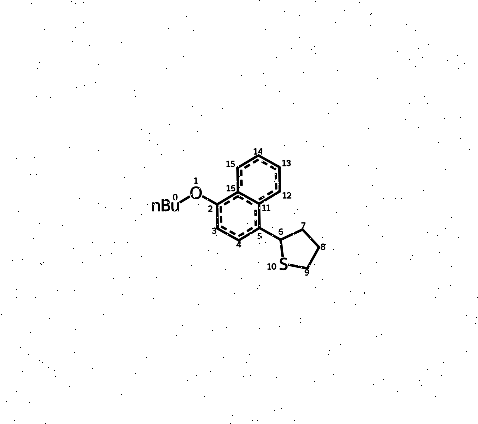 CCCCOc1ccc(C2CCCS2)c2ccccc12